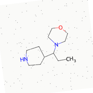 CCC(C1CCNCC1)N1CCOCC1